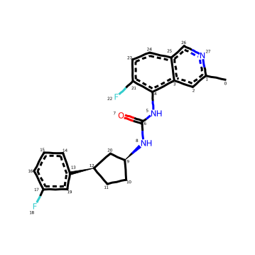 Cc1cc2c(NC(=O)N[C@H]3CC[C@@H](c4cccc(F)c4)C3)c(F)ccc2cn1